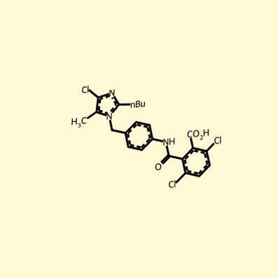 CCCCc1nc(Cl)c(C)n1Cc1ccc(NC(=O)c2c(Cl)ccc(Cl)c2C(=O)O)cc1